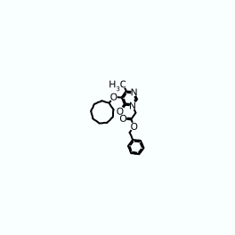 Cc1ncn(CC(=O)OCc2ccccc2)c(=O)c1OC1CCCCCCCC1